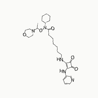 CC(ON(C(=O)CCCCCCNc1c(Nc2cccnc2)c(=O)c1=O)C1CCCCC1)N1CCOCC1